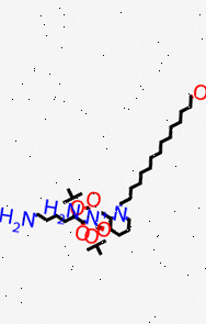 CC(C)(C)OC(=O)[N+](CC1CCCCN1CCCCCCCCCCCCCCC=O)(C(=O)OC(C)(C)C)C(=O)C(N)CCCCN